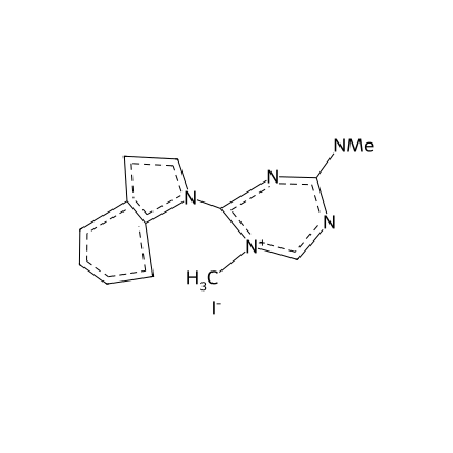 CNc1nc[n+](C)c(-n2ccc3ccccc32)n1.[I-]